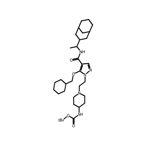 CC(NC(=O)c1cnn(CCN2CCC(NC(=O)OC(C)(C)C)CC2)c1OCC1CCCCC1)C1CC2CCCC(C2)C1